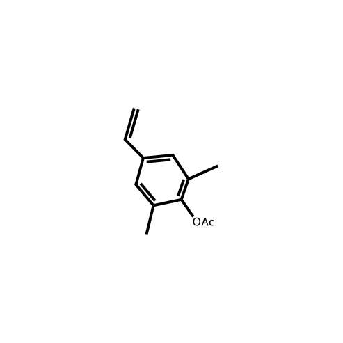 C=Cc1cc(C)c(OC(C)=O)c(C)c1